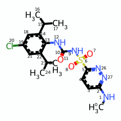 CNc1ccc(S(=O)(=O)NC(=O)Nc2c(C(C)C)cc(Cl)cc2C(C)C)nn1